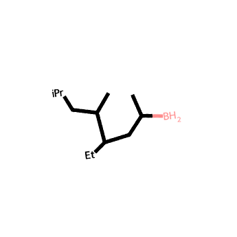 BC(C)CC(CC)C(C)CC(C)C